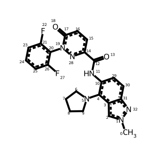 Cn1cc2c(N3CCCC3)c(NC(=O)c3ccc(=O)n(-c4c(F)cccc4F)n3)ccc2n1